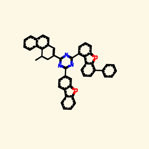 CC1CC(c2nc(-c3ccc4c(c3)oc3ccccc34)nc(-c3cccc4oc5c(-c6ccccc6)cccc5c34)n2)=Cc2ccc3ccccc3c21